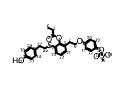 CCC(=O)Oc1c(CCOc2ccc(OS(C)(=O)=O)cc2)cccc1SCCc1ccc(O)cc1